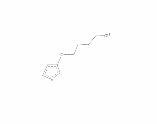 OCCCCOc1ccsc1